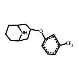 FC(F)(F)c1cccc(OC2CC3CCCC(C2)N3)c1